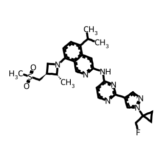 CC(C)c1ccc(N2C[C@H](CS(C)(=O)=O)[C@H]2C)c2cnc(Nc3ccnc(-c4cnn(C5(CF)CC5)c4)n3)cc12